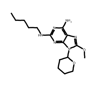 CCCCCNc1nc(N)c2nc(OC)n(C3CCCCO3)c2n1